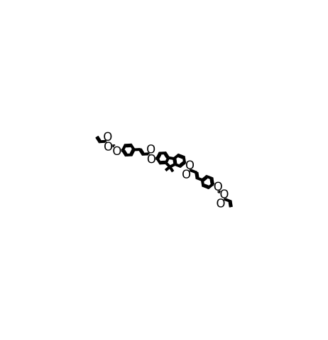 C=CC(=O)OCOc1ccc(C=CC(=O)Oc2ccc3c(c2)C(C)(C)c2cc(OC(=O)C=Cc4ccc(OCOC(=O)C=C)cc4)ccc2-3)cc1